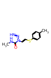 CNC(=O)N(/C=C/Sc1ccc(C)cc1)N=N